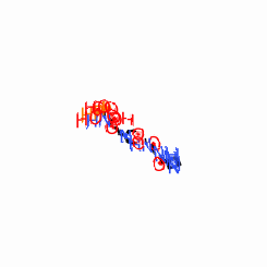 O=C(CNC(=O)c1cnccn1)NCB1OCCN(CCOC(=O)NC([PH](=O)O)P(=O)(O)O)CCO1